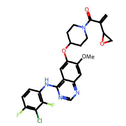 C=C(C(=O)N1CCC(Oc2cc3c(Nc4ccc(F)c(Cl)c4F)ncnc3cc2OC)CC1)C1CO1